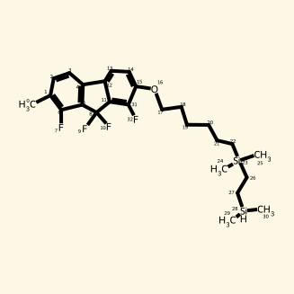 Cc1ccc2c(c1F)C(F)(F)c1c-2ccc(OCCCCCC[Si](C)(C)CC[SiH](C)C)c1F